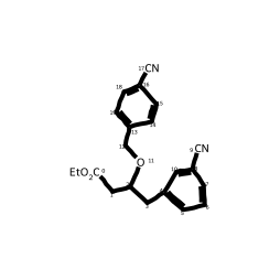 CCOC(=O)CC(Cc1cccc(C#N)c1)OCc1ccc(C#N)cc1